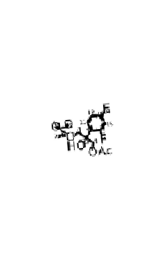 CC(=O)OCC(O)(COS(C)(=O)=O)c1ccc(F)cc1F